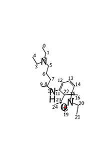 CCN(CC)CCCC(C)NC1=CC=CC(C)(N(CC)CC)C1C(C)=O